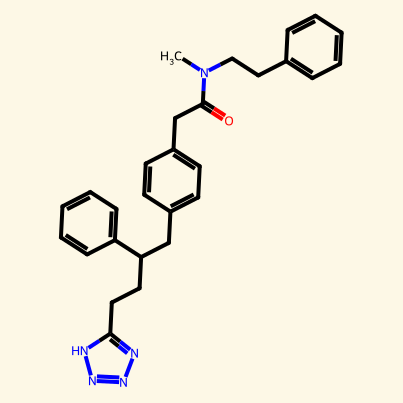 CN(CCc1ccccc1)C(=O)Cc1ccc(CC(CCc2nnn[nH]2)c2ccccc2)cc1